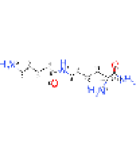 NCCCCC(=O)NCCCCC(N)C(N)=O